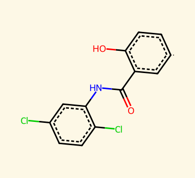 O=C(Nc1cc(Cl)ccc1Cl)c1c[c]ccc1O